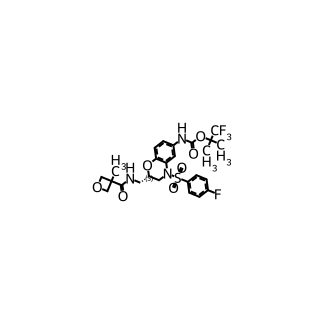 CC1(C(=O)NC[C@H]2CN(S(=O)(=O)c3ccc(F)cc3)c3cc(NC(=O)OC(C)(C)C(F)(F)F)ccc3O2)COC1